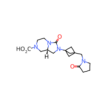 O=C(O)N1CCN2C(=O)N(C34CC(CN5CCCC5=O)(C3)C4)C[C@@H]2C1